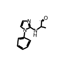 CC([C]=O)Nc1nccn1-c1ccccc1